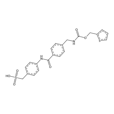 O=C(NCc1ccc(C(=O)Nc2ccc(CS(=O)(=O)O)cc2)cc1)OCc1cccs1